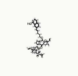 C=CC(=O)N(C)C[C@H](NC(=O)OCCC/C=C/c1ccc2ccnc(O)c2c1)C(=O)N1CCC[C@H]1C(=O)N[C@]1(C(=O)NS(=O)(=O)C2CC2)C[C@H]1C=C